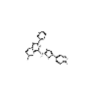 C/C=C\C(=C/C)c1cnc(Nc2nc(-c3cccnc3)nc3ccc(Cl)cc23)s1